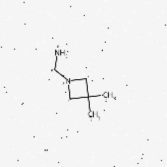 CC1(C)CN(CN)C1